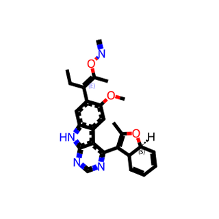 C=NO/C(C)=C(\CC)c1cc2[nH]c3ncnc(C4=C(C)O[C@H]5C=CC=CC45)c3c2cc1OC